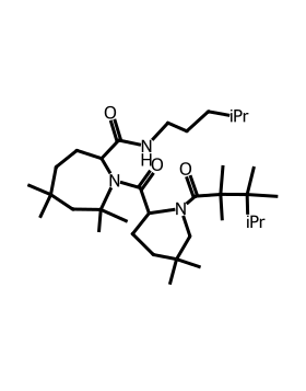 CC(C)CCCNC(=O)C1CCC(C)(C)CC(C)(C)N1C(=O)C1CCC(C)(C)CN1C(=O)C(C)(C)C(C)(C)C(C)C